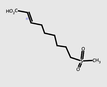 CS(=O)(=O)CCCCCC/C=C/C(=O)O